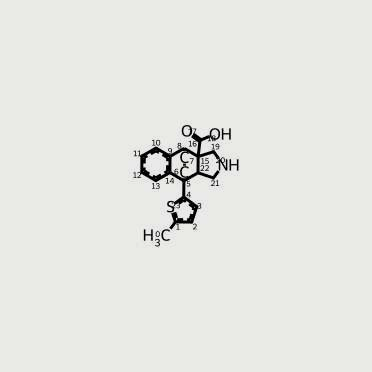 Cc1ccc(C23CCC(c4ccccc42)C2(C(=O)O)CNCC32)s1